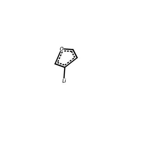 [Li][c]1ccoc1